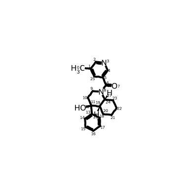 Cc1cncc(C(=O)N2CCC(O)(c3ccccc3)[C@H]3CCCC[C@H]32)c1